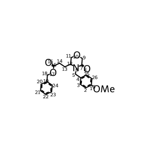 COc1ccc(CN2C(=O)COCC2CCC(=O)OCc2ccccc2)cc1